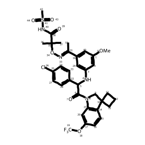 COc1cc(NC(C(=O)N2CC3(CCC3)c3ccc(OC(F)(F)F)cc32)c2ccc(Cl)cc2)cc(C(C)=NOC(C)(C)C(=O)NS(C)(=O)=O)c1